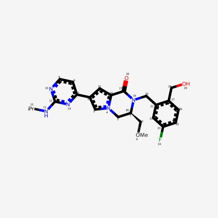 COC[C@H]1Cn2cc(-c3ccnc(NC(C)C)n3)cc2C(=O)N1Cc1cc(F)ccc1CO